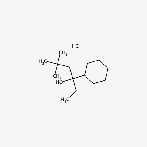 CCC(O)(CC(C)(C)C)C1CCCCC1.Cl